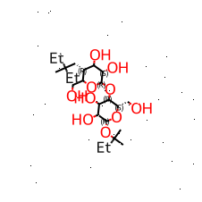 CCC(C)(CC)C[C@H]1C(CO)O[C@H](O[C@@H]2C(O)C(O)[C@@H](OC(C)(C)CC)O[C@H]2CO)[C@@H](O)C1O